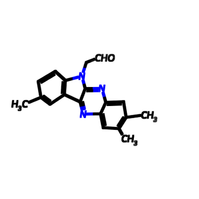 Cc1ccc2c(c1)c1nc3cc(C)c(C)cc3nc1n2CC=O